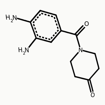 Nc1ccc(C(=O)N2CCC(=O)CC2)cc1N